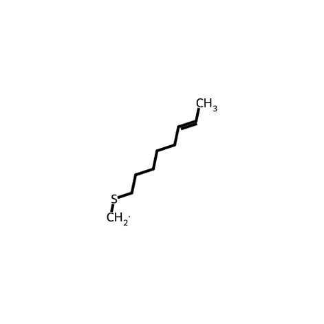 [CH2]SCCCCCC=CC